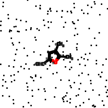 Cc1cc([C]=O)oc1C